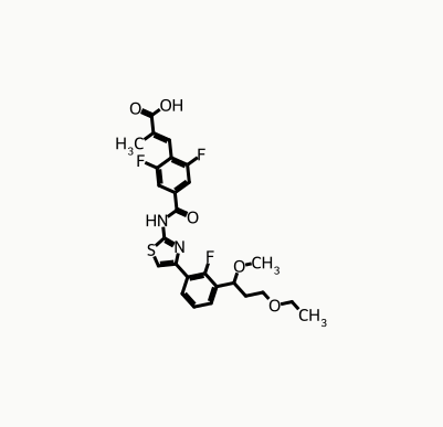 CCOCCC(OC)c1cccc(-c2csc(NC(=O)c3cc(F)c(/C=C(\C)C(=O)O)c(F)c3)n2)c1F